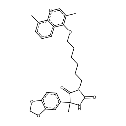 Cc1cnc2c(C)cccc2c1OCCCCCCN1C(=O)NC(C)(c2ccc3c(c2)OCO3)C1=O